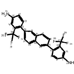 Nc1ccc(-c2ccc3cc(-c4ccc(N)cc4C(F)(F)F)ccc3c2)c(C(F)(F)F)c1